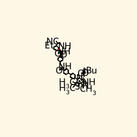 CCc1ccc(NS(=O)(=O)c2ccc(CNC(=O)c3ccc(-c4ccc(C5=N[C@@H](CC(=O)OC(C)(C)C)C6NN=C(C)N6c6sc(C)c(C)c65)cc4)cc3)cc2)c2[nH]cc(C#N)c12